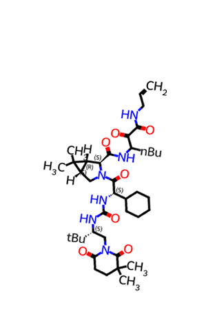 C=CCNC(=O)C(=O)C(CCCC)NC(=O)[C@@H]1[C@@H]2[C@H](CN1C(=O)[C@@H](NC(=O)N[C@H](CN1C(=O)CCC(C)(C)C1=O)C(C)(C)C)C1CCCCC1)C2(C)C